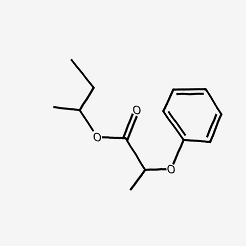 CCC(C)OC(=O)C(C)Oc1ccccc1